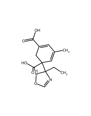 CCC1(C2(C(=O)O)C=C(C)C=C(C(=O)O)C2)N=CON1